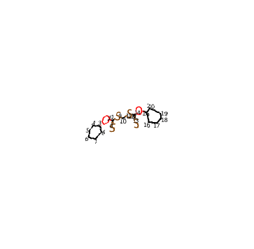 S=C(OC1CCCCC1)SCSC(=S)OC1CCCCC1